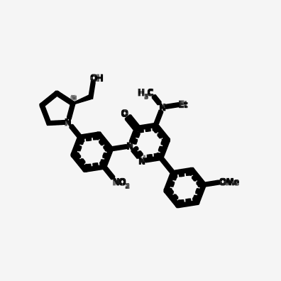 CCN(C)c1cc(-c2cccc(OC)c2)nn(-c2cc(N3CCC[C@H]3CO)ccc2[N+](=O)[O-])c1=O